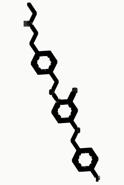 CCNCCc1ccc(COn2ccc(OCc3ccc(F)cc3)cc2=O)cc1